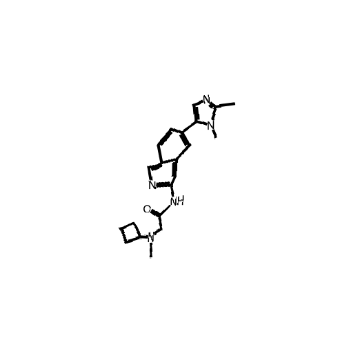 Cc1ncc(-c2ccc3cnc(NC(=O)CN(C)C4CCC4)cc3c2)n1C